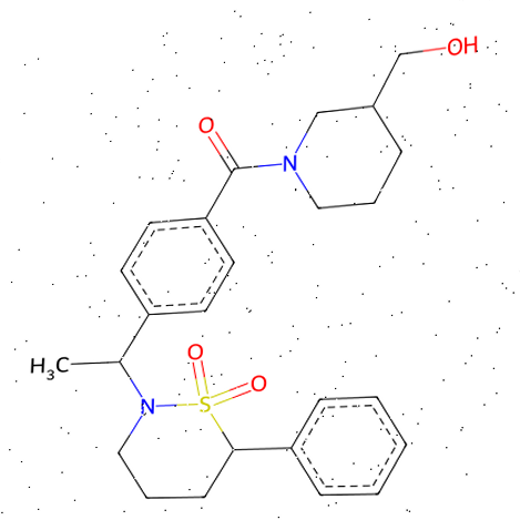 CC(c1ccc(C(=O)N2CCCC(CO)C2)cc1)N1CCCC(c2ccccc2)S1(=O)=O